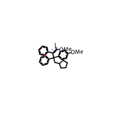 CO/C(I)=C(/c1ccccc1)C(CC1CCCC1)(c1ccccc1)c1ccc(OC)cc1